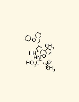 Cc1ccccc1-c1cc(CCc2ccccc2Oc2ccccc2)ccc1C(=O)NC(CC[S+](C)[O-])C(=O)O.[LiH]